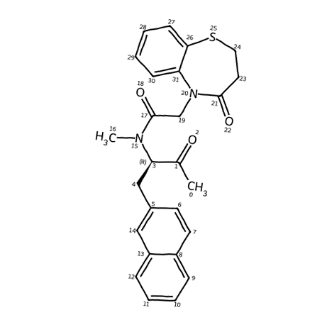 CC(=O)[C@@H](Cc1ccc2ccccc2c1)N(C)C(=O)CN1C(=O)CCSc2ccccc21